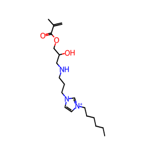 C=C(C)C(=O)OCC(O)CNCCCn1cc[n+](CCCCCC)c1